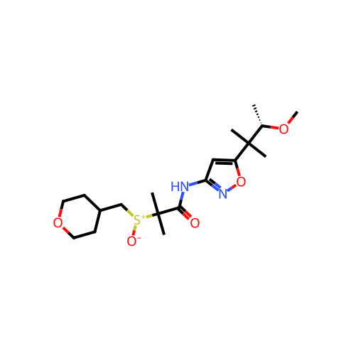 CO[C@@H](C)C(C)(C)c1cc(NC(=O)C(C)(C)[S+]([O-])CC2CCOCC2)no1